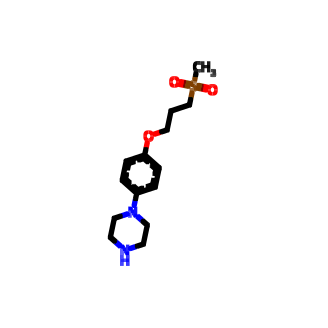 CS(=O)(=O)CCCOc1ccc(N2CCNCC2)cc1